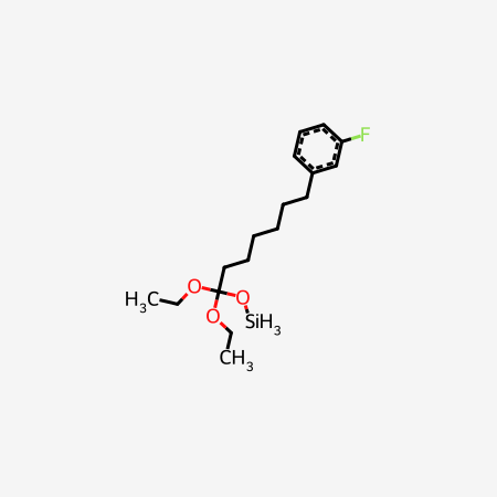 CCOC(CCCCCCc1cccc(F)c1)(O[SiH3])OCC